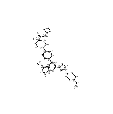 CCC1(C(=O)NC2CCC2)CCN(c2ccc(-c3nc(-c4cnn([C@H]5CC[C@H](CO)CC5)c4)cn4ncc(C#N)c34)cn2)CC1